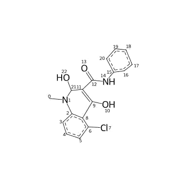 CN1c2cccc(Cl)c2C(O)=C(C(=O)Nc2ccccc2)C1O